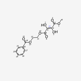 COC(=O)/C(O)=C(\O)C(=O)OCCOC(=O)c1ccccc1